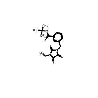 CCN1C(=O)C(=O)N(Cc2cccc(C(=O)OC(C)(C)C)c2)C1=O